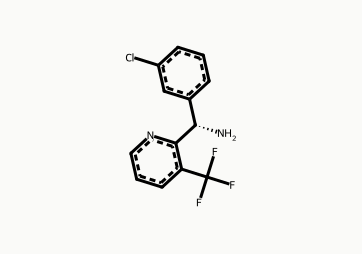 N[C@@H](c1cccc(Cl)c1)c1ncccc1C(F)(F)F